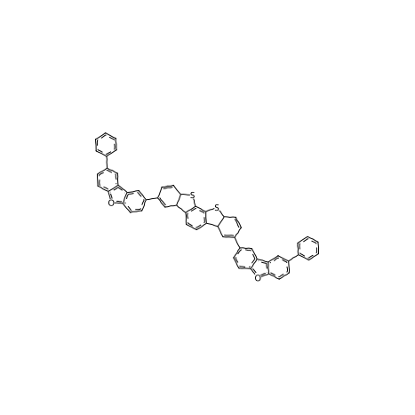 C1=CC2Sc3c(ccc4c3SC3C=CC(c5ccc6oc7ccc(-c8ccccc8)cc7c6c5)=CC43)C2C=C1c1ccc2oc3ccc(-c4ccccc4)cc3c2c1